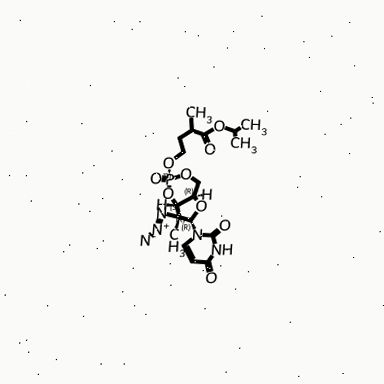 CC(C)OC(=O)C(C)CCO[P@]1(=O)OC[C@H]2O[C@@H](n3ccc(=O)[nH]c3=O)[C@](C)(N=[N+]=[N-])[C@@H]2O1